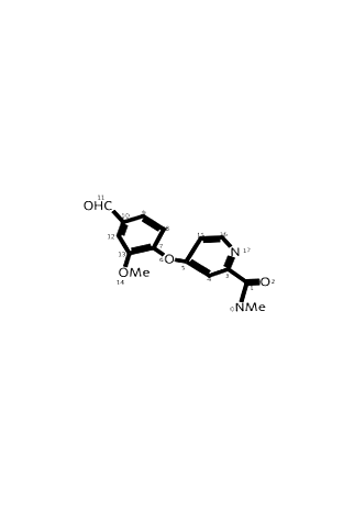 CNC(=O)c1cc(Oc2ccc(C=O)cc2OC)ccn1